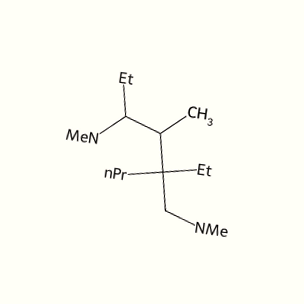 CCCC(CC)(CNC)C(C)C(CC)NC